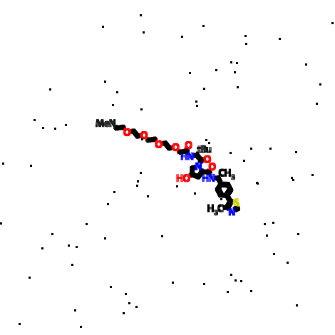 CNCCOCCOCCOCCOCC(=O)N[C@H](C(=O)N1CC(O)CC1C(=O)N[C@@H](C)c1ccc(-c2scnc2C)cc1)C(C)(C)C